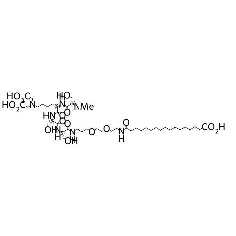 CN[C@@H](CO)C(=O)N[C@@H](CCCCN(CC(=O)O)CC(=O)O)C(=O)N[C@@H](CO)C(=O)N[C@@H](CO)C(=O)NCCCOCCOCCNC(=O)CCCCCCCCCCCCCCCC(=O)O